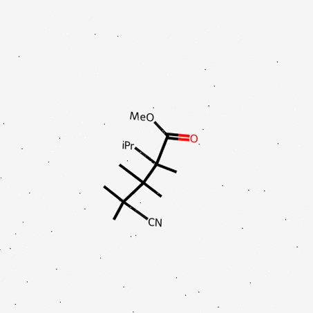 COC(=O)C(C)(C(C)C)C(C)(C)C(C)(C)C#N